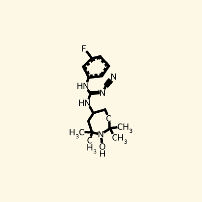 CC1(C)CCC(NC(=NC#N)Nc2cccc(F)c2)CC(C)(C)N1O